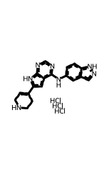 C1=C(c2cc3c(Nc4ccc5[nH]ncc5c4)ncnc3[nH]2)CCNC1.Cl.Cl.Cl